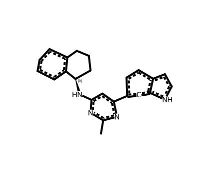 Cc1nc(N[C@@H]2CCCc3ccccc32)cc(-c2ccc3cc[nH]c3c2)n1